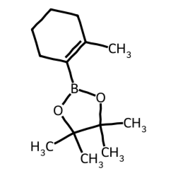 CC1=C(B2OC(C)(C)C(C)(C)O2)CCCC1